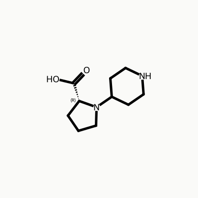 O=C(O)[C@H]1CCCN1C1CCNCC1